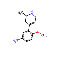 COc1ccc(N)cc1C1=CCNC(C)C1